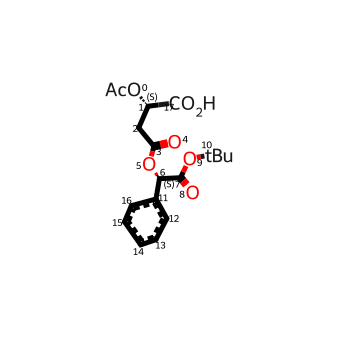 CC(=O)O[C@@H](CC(=O)O[C@H](C(=O)OC(C)(C)C)c1ccccc1)C(=O)O